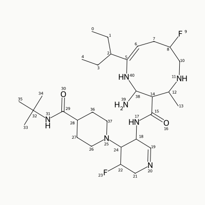 CCC(CC)/C1=C/CC(F)CNC(C)C(C(=O)NC2C=NCC(F)C2N2CCC(C(=O)NC(C)(C)C)CC2)C(N)N1